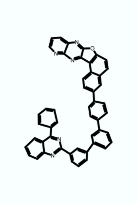 c1ccc(-c2nc(-c3cccc(-c4cccc(-c5ccc(-c6ccc7c(ccc8oc9nc%10cccnc%10nc9c87)c6)cc5)c4)c3)nc3ccccc23)cc1